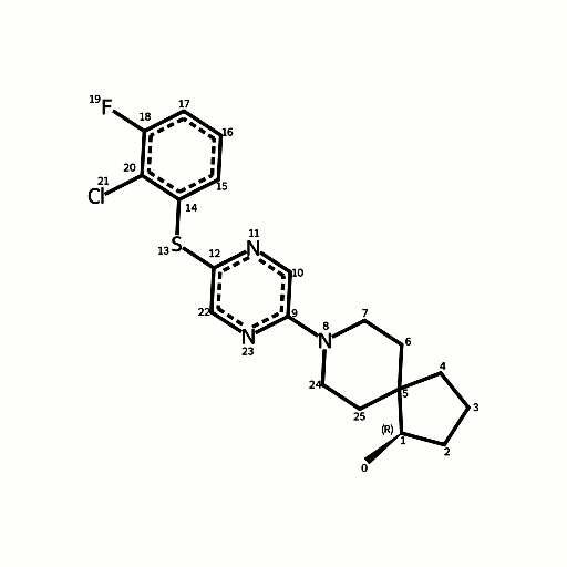 C[C@@H]1CCCC12CCN(c1cnc(Sc3cccc(F)c3Cl)cn1)CC2